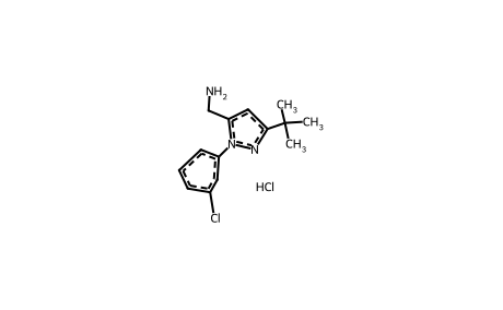 CC(C)(C)c1cc(CN)n(-c2cccc(Cl)c2)n1.Cl